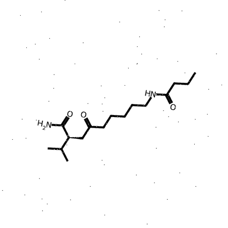 CCCC(=O)NCCCCCC(=O)C[C@H](C(N)=O)C(C)C